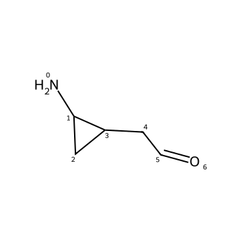 NC1CC1CC=O